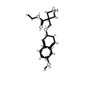 CCOC(=O)C1(COC2C=c3ccc(OC)cc3=CC2)CNC1